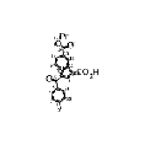 Cc1ccc(C(=O)c2cc(C(=O)O)c3cc(C(=O)OC(C)C)ccn23)cc1